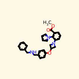 COC(=O)c1cccc(N2CC(Oc3ccc(CNCc4ccccc4)cc3)C2)c1-n1cccc1